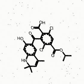 CC1=CC(C)(C)Nc2cc(O)c(C(=O)c3c(Cl)c(C(=O)OC(C)C)cc(Cl)c3C(=O)O)cc21